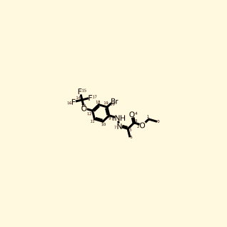 CCOC(=O)C(C)=NNc1ccc(OC(F)(F)F)cc1Br